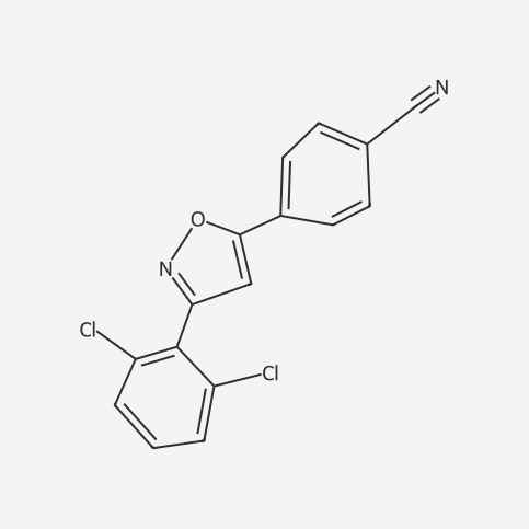 N#Cc1ccc(-c2cc(-c3c(Cl)cccc3Cl)no2)cc1